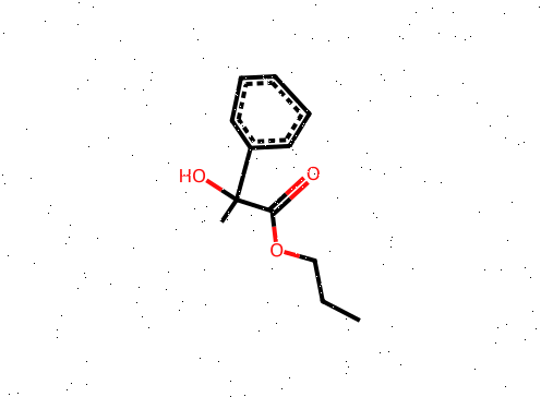 CCCOC(=O)C(C)(O)c1ccccc1